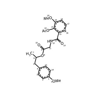 COc1ccc(CC(C)OC(=O)CNC(=O)c2nccc(OC)c2OC(C)=O)cc1